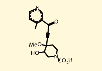 COC1(C#CC(=O)c2cnccc2C)CCN(C(=O)O)CC1O